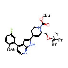 COc1ccc(F)cc1-c1ccnc2[nH]c(C3=C[C@@H](CO[Si](C(C)C)(C(C)C)C(C)C)N(C(=O)OC(C)(C)C)CC3)cc12